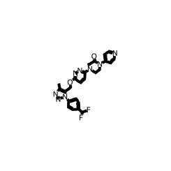 Cc1nnn(-c2ccc(C(F)F)cc2)c1COc1ccc(N2CCN(c3ccncc3)C(=O)C2)nn1